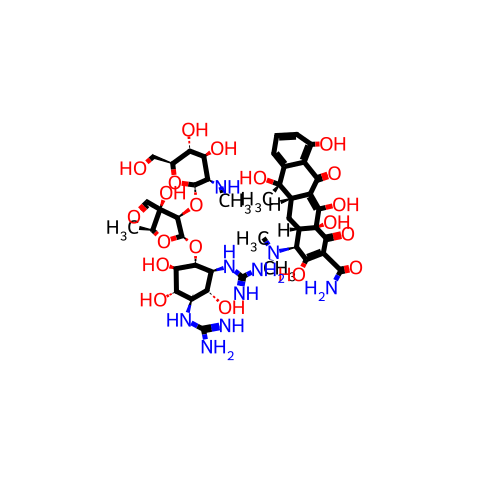 CN(C)[C@@H]1C(O)=C(C(N)=O)C(=O)[C@@]2(O)C(O)=C3C(=O)c4c(O)cccc4[C@@](C)(O)[C@H]3C[C@@H]12.CN[C@@H]1[C@H](O[C@H]2[C@H](O[C@H]3[C@H](O)[C@@H](O)[C@H](NC(=N)N)[C@@H](O)[C@@H]3NC(=N)N)O[C@@H](C)[C@]2(O)C=O)O[C@@H](CO)[C@H](O)[C@H]1O